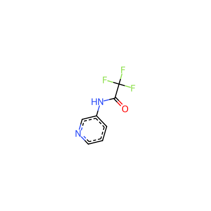 O=C(Nc1cccnc1)C(F)(F)F